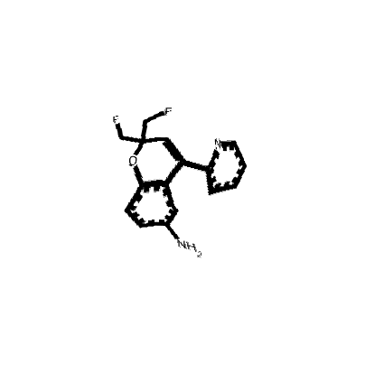 Nc1ccc2c(c1)C(c1ccccn1)=CC(CF)(CF)O2